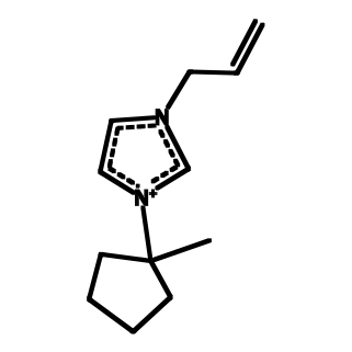 C=CCn1cc[n+](C2(C)CCCC2)c1